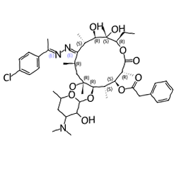 CC[C@H]1OC(=O)[C@H](C)[C@@H](OC(=O)Cc2ccccc2)[C@H](C)[C@@H](OC2OC(C)CC(N(C)C)C2O)[C@](C)(OC)C[C@@H](C)/C(=N\N=C(/C)c2ccc(Cl)cc2)[C@H](C)[C@@H](O)[C@]1(C)O